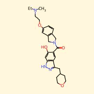 CCN(C)CCOc1ccc2c(c1)CN(C(=O)c1cc3c(CC4CCOCC4)n[nH]c3cc1O)C2